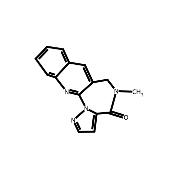 CN1Cc2cc3ccccc3nc2-n2nccc2C1=O